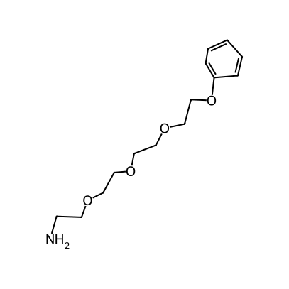 NCCOCCOCCOCCOc1ccccc1